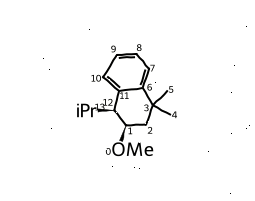 CO[C@@H]1CC(C)(C)c2ccccc2[C@@H]1C(C)C